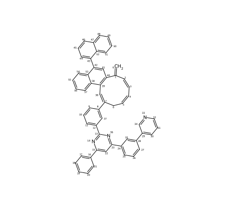 C=C1/C=C\C=C/C/C(c2cccc(-c3nc(-c4ccccc4)cc(-c4cccc(-c5cccnc5)c4)n3)c2)=C\c2c1cc(-c1cccc3ccccc13)c1ccccc21